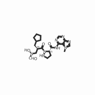 Cn1cnc2ncnc(NC(=O)[C@@H]3CCNN3C(=O)[C@H](CC3CCCC3)CN(O)C=O)c21